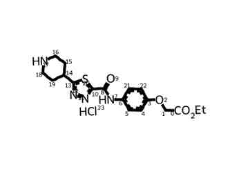 CCOC(=O)COc1ccc(NC(=O)c2nnc(C3CCNCC3)s2)cc1.Cl